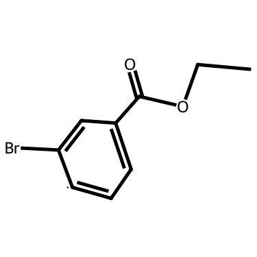 CCOC(=O)c1cc[c]c(Br)c1